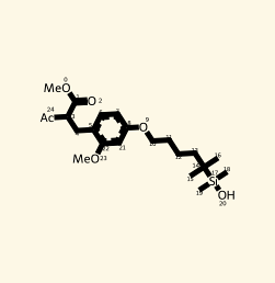 COC(=O)C(Cc1ccc(OCCCCC(C)(C)[Si](C)(C)O)cc1OC)C(C)=O